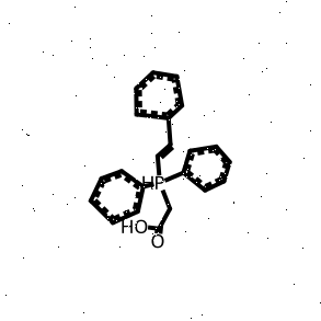 O=C(O)C[PH](C=Cc1ccccc1)(c1ccccc1)c1ccccc1